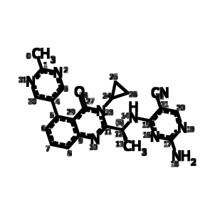 Cc1ncc(-c2cccc3nc([C@H](C)Nc4nc(N)ncc4C#N)n(C4CC4)c(=O)c23)cn1